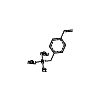 C=Cc1ccc(C[N+](CC)(CCCC)CCCC)cc1